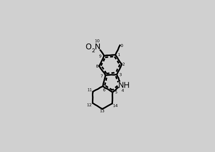 Cc1cc2[nH]c3c(c2cc1[N+](=O)[O-])CCCC3